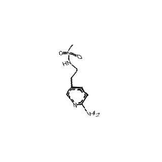 CS(=O)(=O)NCCc1ccc(N)nc1